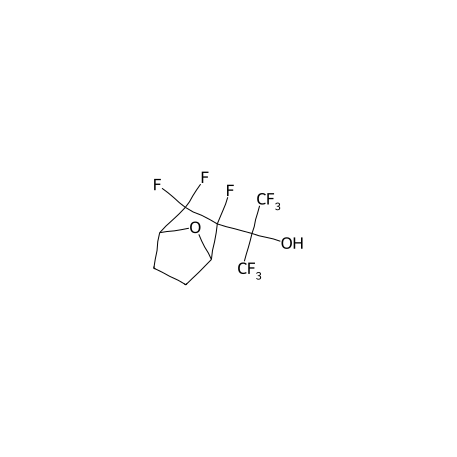 OC(C(F)(F)F)(C(F)(F)F)C1(F)C2CCC(O2)C1(F)F